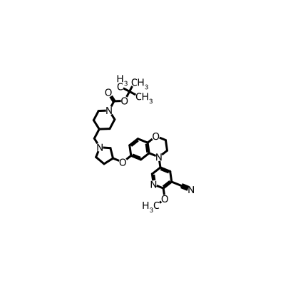 COc1ncc(N2CCOc3ccc(OC4CCN(CC5CCN(C(=O)OC(C)(C)C)CC5)C4)cc32)cc1C#N